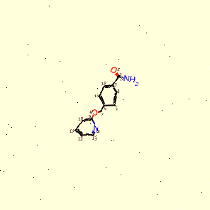 NC(=O)c1ccc(COc2ccccn2)cc1